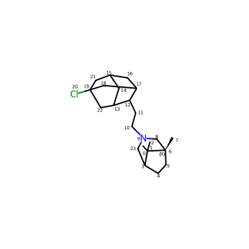 CC1(C)C2CC[C@@]1(C)CN(CCC1C3CC4CC1CC(Cl)(C4)C3)C2